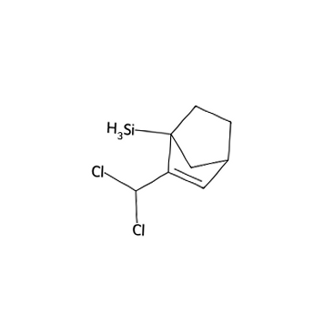 [SiH3]C12CCC(C=C1C(Cl)Cl)C2